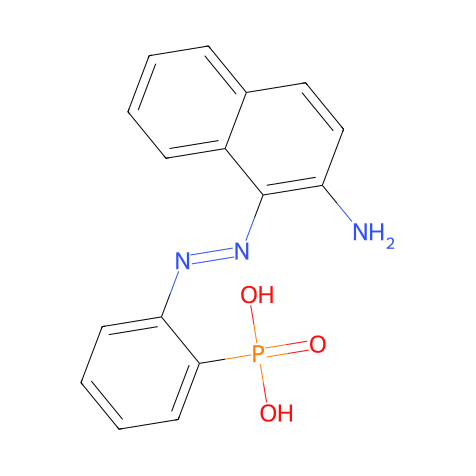 Nc1ccc2ccccc2c1N=Nc1ccccc1P(=O)(O)O